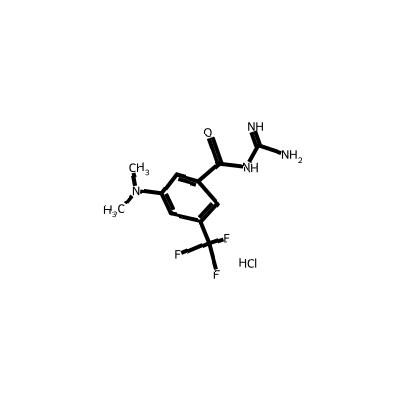 CN(C)c1cc(C(=O)NC(=N)N)cc(C(F)(F)F)c1.Cl